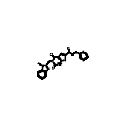 Cn1c(Cn2c(=O)[nH]c3sc(C(=O)OCc4ccccc4)cc3c2=O)nc2ccccc21